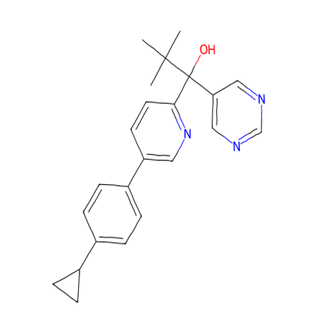 CC(C)(C)C(O)(c1cncnc1)c1ccc(-c2ccc(C3CC3)cc2)cn1